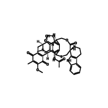 COC1=C(C)C(=O)C2=C(C1=O)[C@@H]1C3[C@@H]4SC[C@]5(NCCc6c5[nH]c5ccccc65)C(=O)OC[C@@H](c5c6c(c(C)c(OC(C)=O)c54)OCO6)N3[C@@H](O)[C@H](C2)N1C